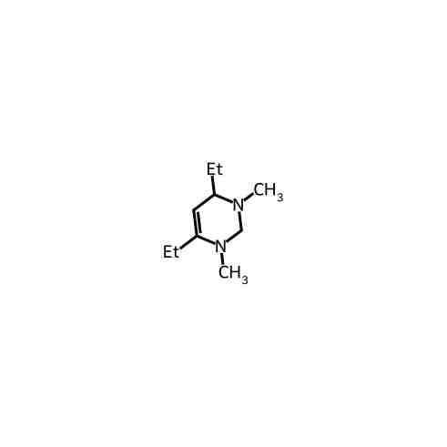 CCC1=CC(CC)N(C)CN1C